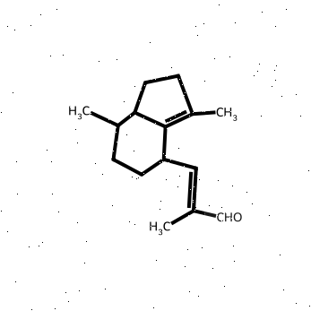 CC(C=O)=CC1CCC(C)C2CCC(C)=C12